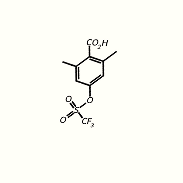 Cc1cc(OS(=O)(=O)C(F)(F)F)cc(C)c1C(=O)O